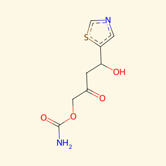 NC(=O)OCC(=O)CC(O)c1cncs1